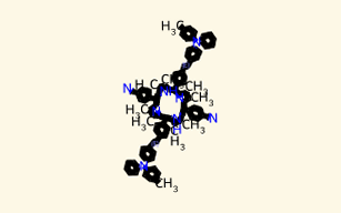 CC1=C(C)c2nc1c(-c1ccc(C#N)cc1)c1[nH]c(c(C)c1C)c(-c1ccc(/C=C/c3ccc(N(c4ccccc4)c4ccc(C)cc4)cc3)cc1)c1nc(c(-c3ccc(C#N)cc3)c3[nH]c(c(C)c3C)c2-c2ccc(/C=C/c3ccc(N(c4ccccc4)c4ccc(C)cc4)cc3)cc2)C(C)=C1C